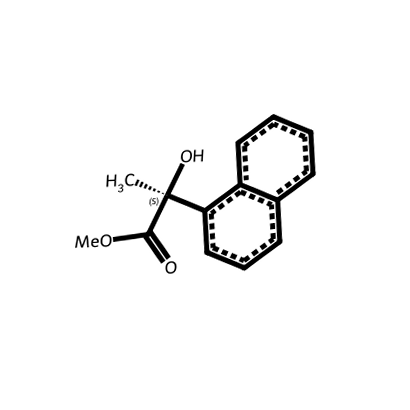 COC(=O)[C@@](C)(O)c1cccc2ccccc12